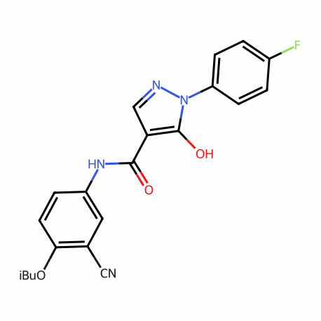 CC(C)COc1ccc(NC(=O)c2cnn(-c3ccc(F)cc3)c2O)cc1C#N